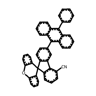 N#Cc1cccc2c1-c1cc(-c3c4ccccc4c(-c4ccccc4)c4ccccc34)ccc1C21c2ccccc2Oc2ccccc21